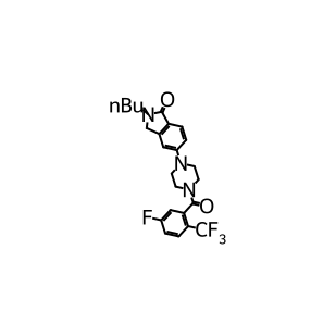 CCCCN1Cc2cc(N3CCN(C(=O)c4cc(F)ccc4C(F)(F)F)CC3)ccc2C1=O